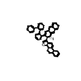 [2H]c1c(-c2coc3c2ccc2c4ccccc4ccc23)c(-c2ccccc2-c2ccccc2-c2ccccc2)cc2cc3ccccc3cc12